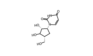 O=c1ccn([C@@H]2C[C@H](CO)C(O)[C@@H]2O)c(=O)[nH]1